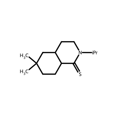 CC(C)N1CCC2CC(C)(C)CCC2C1=S